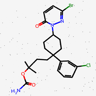 CC(C)(CCC1(c2cccc(Cl)c2)CCC(n2nc(Br)ccc2=O)CC1)OC(N)=O